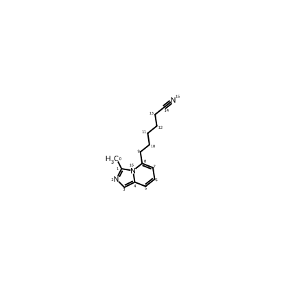 Cc1ncc2cccc(CCCCCC#N)n12